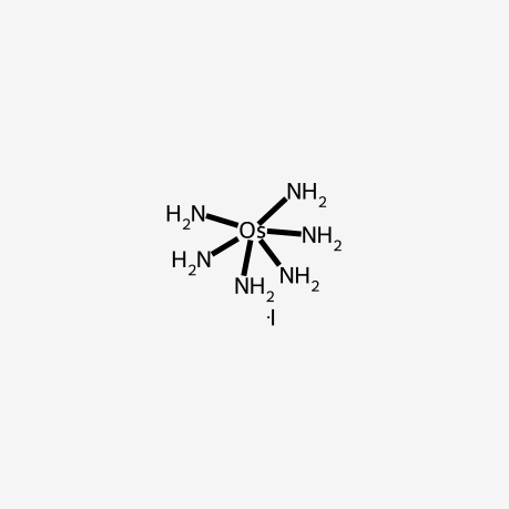 [I].[NH2][Os]([NH2])([NH2])([NH2])([NH2])[NH2]